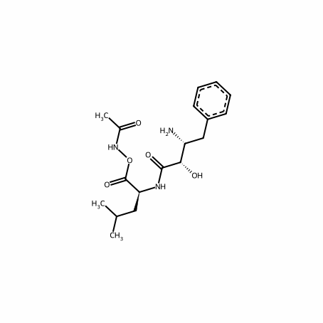 CC(=O)NOC(=O)[C@H](CC(C)C)NC(=O)[C@@H](O)[C@H](N)Cc1ccccc1